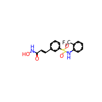 O=C(/C=C/c1cccc(S(=O)(=O)Nc2ccccc2C(F)(F)F)c1)NO